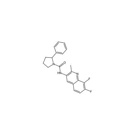 Cc1nc2c(F)c(F)ccc2cc1NC(=O)N1CCCC1c1ccccc1